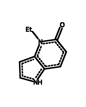 CCn1c(=O)ccc2[nH]ccc21